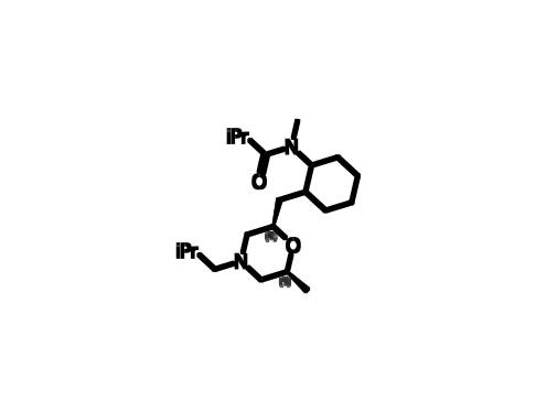 CC(C)CN1C[C@@H](CC2CCCCC2N(C)C(=O)C(C)C)O[C@@H](C)C1